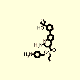 CCCN(OCc1ccc(N)cc1)C(=O)C1=Cc2ccc(-c3cccc(C4(O)COC4)c3)cc2N=C(N)C1